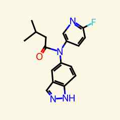 CC(C)CC(=O)N(c1ccc(F)nc1)c1ccc2[nH]ncc2c1